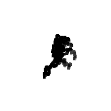 CO[C@]1(C(C)=O)CC[C@H]2[C@@H]3CC=C4CC(O)(OCc5ccc(F)cc5)CC[C@]4(C)[C@H]3CC[C@@]21C